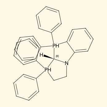 c1ccc([PH]2(c3ccccc3)CCN3c4ccccc4[PH](c4ccccc4)(c4ccccc4)[C@H]32)cc1